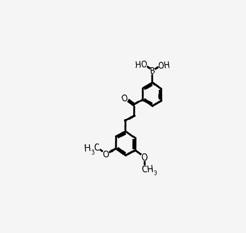 COc1cc(CCC(=O)c2cccc(B(O)O)c2)cc(OC)c1